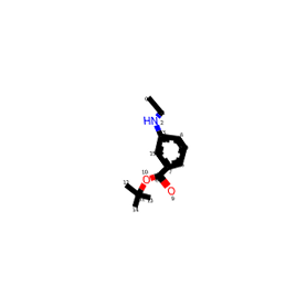 CCNc1cccc(C(=O)OC(C)(C)C)c1